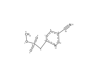 COS(=O)(=O)Cc1ccc(C#N)cn1